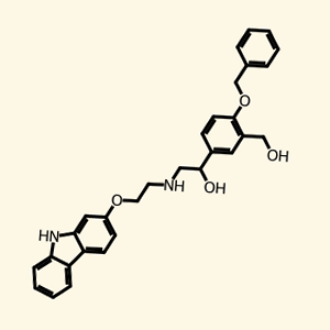 OCc1cc(C(O)CNCCOc2ccc3c(c2)[nH]c2ccccc23)ccc1OCc1ccccc1